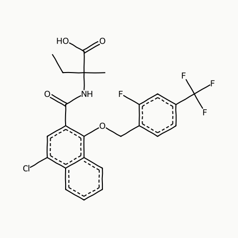 CCC(C)(NC(=O)c1cc(Cl)c2ccccc2c1OCc1ccc(C(F)(F)F)cc1F)C(=O)O